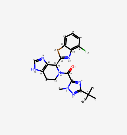 Cn1nc(C(C)(C)C#N)nc1C(=O)N1CCc2[nH]cnc2[C@H]1c1nc2c(F)cccc2s1